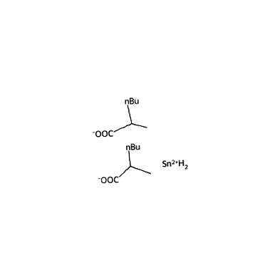 CCCCC(C)C(=O)[O-].CCCCC(C)C(=O)[O-].[SnH2+2]